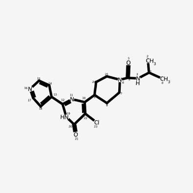 CC(C)NC(=O)N1CCC(c2nc(-c3ccncc3)[nH]c(=O)c2Cl)CC1